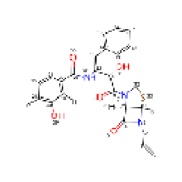 C=CCN1C(=O)[C@H]2N(C(=O)[C@@H](O)[C@H](Cc3ccccc3)NC(=O)c3ccc(C)c(O)c3C)CSC21C